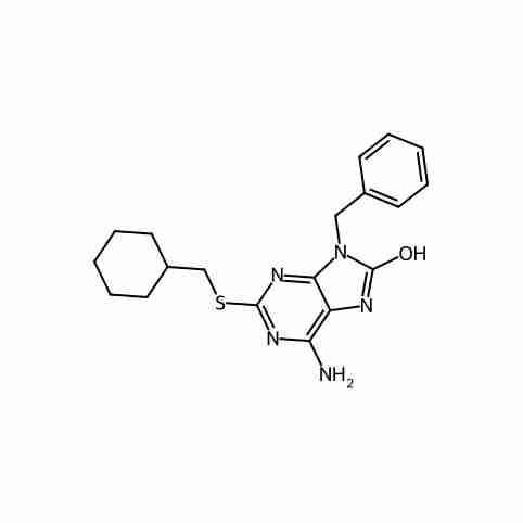 Nc1nc(SCC2CCCCC2)nc2c1nc(O)n2Cc1ccccc1